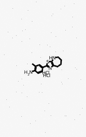 Cc1cc(-c2nc3c(s2)NCCCC3)ccc1N.Cl.Cl